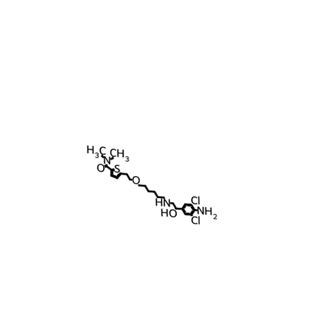 CCN(CC)C(=O)c1ccc(CCOCCCCCCNCC(O)c2cc(Cl)c(N)c(Cl)c2)s1